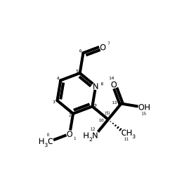 COc1ccc(C=O)nc1[C@](C)(N)C(=O)O